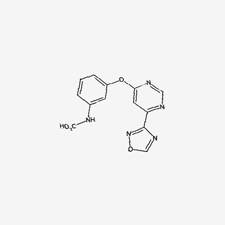 O=C(O)Nc1cccc(Oc2cc(-c3ncon3)ncn2)c1